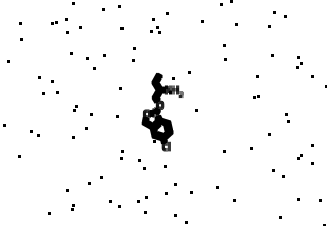 CCC(N)COB1OCc2cc(Cl)ccc21